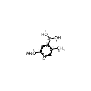 COc1cc(B(O)O)c(C)cn1